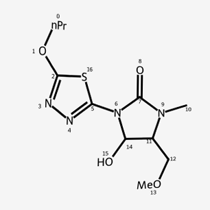 CCCOc1nnc(N2C(=O)N(C)C(COC)C2O)s1